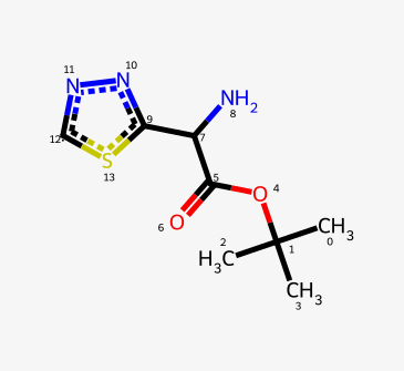 CC(C)(C)OC(=O)C(N)c1nn[c]s1